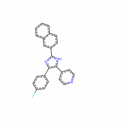 Fc1ccc(-c2nc(-c3ccc4ccccc4c3)[nH]c2-c2ccncc2)cc1